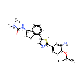 CC(C)OC1CC=C(c2ncc(-c3cccc4c3CC[C@H]4NC(=O)N(C)C)s2)C=C1N